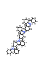 c1ccc2c(c1)c1cccc3c4c5c6cccc7c8cc9c(cc8n(c5ccc4n2c13)c76)c1cccc2c3c4c5cccc6c7ccccc7n(c4ccc3n9c12)c65